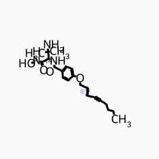 CCCCC#C/C=C/COc1ccc(C(=O)N[C@H](C(=O)NO)C(C)(C)N)cc1